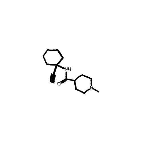 C#CC1(NC(=O)C2CCN(C)CC2)CCCCC1